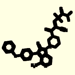 CN(C)C(=O)C(C)(C)C=C(C#N)C(=O)N1CCC[C@@H](n2c(=O)n(-c3ccc(Oc4ccccc4)cc3)c3c(N)nccc32)C1